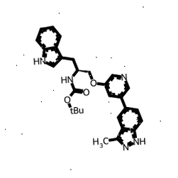 Cc1n[nH]c2ccc(-c3cncc(OC[C@H](Cc4c[nH]c5ccccc45)NC(=O)OC(C)(C)C)c3)cc12